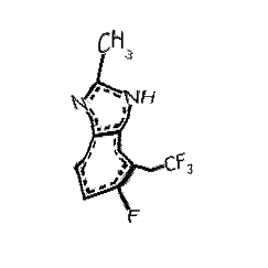 Cc1nc2ccc(F)c(C(F)(F)F)c2[nH]1